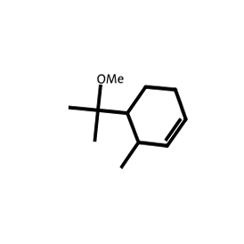 COC(C)(C)C1CCC=CC1C